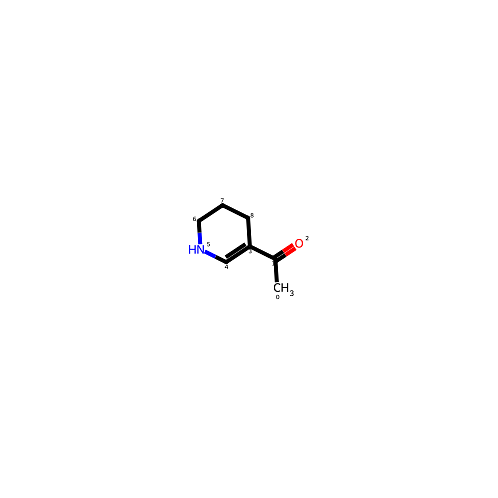 CC(=O)C1=CNCCC1